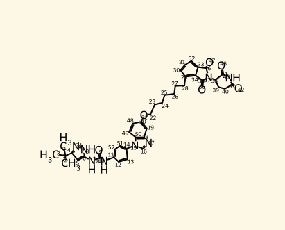 CC(C)(C)c1cc(NC(=O)Nc2ccc(-n3cnc4cc(OCCCCCCCc5cccc6c5C(=O)N(C5CCC(=O)NC5=O)C6=O)ccc43)cc2)[nH]n1